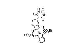 CCOC(=O)Oc1c2cccc(C3C(=O)NC(=O)NC3=O)cc-2c(OC(=O)OCC)c1N1C(=O)c2ccccc2C1=O